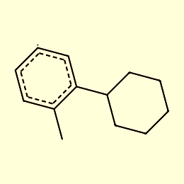 Cc1cc[c]cc1C1CCCCC1